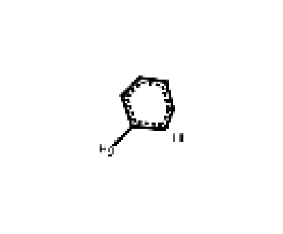 I.[Hg][c]1ccccc1